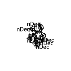 CCCCCCCCCCC(C)NC(=O)CCN(CCC(=O)NC(C)CCCCCCCCCC)CCN(CCC(=O)NC(C)CCCCCCCCCC)CCN(CCC(=O)NC(C)CCCCCCCCCC)CCN(CCC(=O)NC(C)CCCCCCCCCC)CCC(=O)NC(C)CCCCCCCCCC